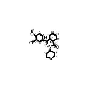 COc1ccc(C2=NN(C3CCSCC3)C(=O)[C@@H]3CC=CC[C@H]23)cc1Cl